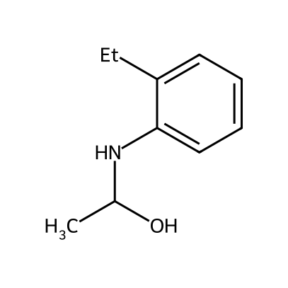 CCc1ccccc1NC(C)O